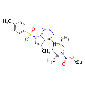 Cc1ccc(S(=O)(=O)n2cc(C)c3c(N4C[C@@H](C)N(C(=O)OC(C)(C)C)C[C@@H]4C)ncnc32)cc1